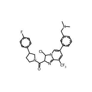 CN(C)Cc1cccc(C2=CN3C(=NC(C(=O)N4CCC(c5ccc(F)cc5)C4)C3Cl)C(C(F)(F)F)=C2)c1